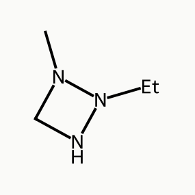 CCN1NCN1C